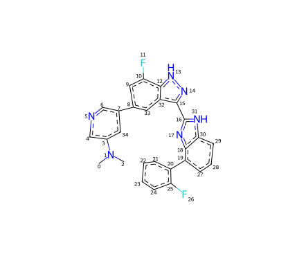 CN(C)c1cncc(-c2cc(F)c3[nH]nc(-c4nc5c(-c6ccccc6F)cccc5[nH]4)c3c2)c1